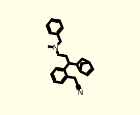 CN(CCC(c1ccccc1CC#N)C1CC2C=CC1C2)Cc1ccccc1